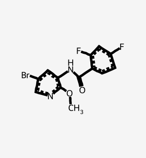 COc1ncc(Br)cc1NC(=O)c1ccc(F)cc1F